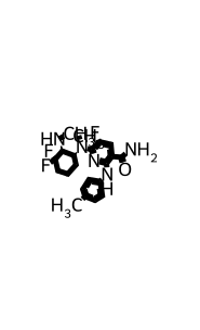 CN[C@@H]1[C@H](N(C)c2nc(Nc3ccc(C)cc3)c(C(N)=O)cc2F)CCCC1(F)F